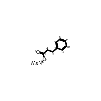 CNOC(=O)CCc1ccccc1